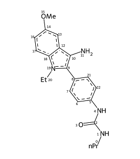 CCCNC(=O)Nc1ccc(-c2c(N)c3cc(OC)ccc3n2CC)cc1